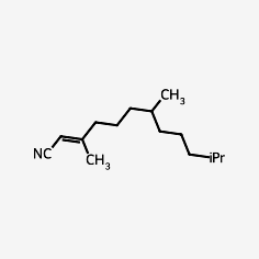 C/C(=C\C#N)CCCC(C)CCCC(C)C